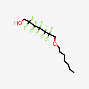 CCCCCCCOCC(F)(F)C(F)(F)C(F)(F)C(F)(F)C(F)(F)CO